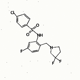 O=S(=O)(Nc1cc(F)ccc1CN1CCC(F)(F)C1)c1ccc(Cl)cc1